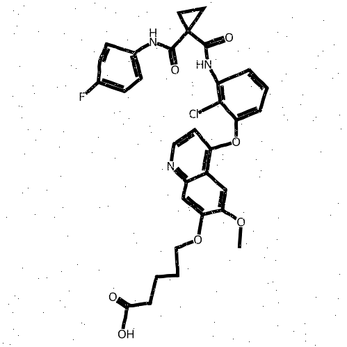 COc1cc2c(Oc3cccc(NC(=O)C4(C(=O)Nc5ccc(F)cc5)CC4)c3Cl)ccnc2cc1OCCCCC(=O)O